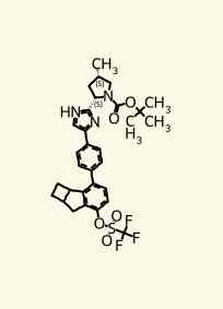 C[C@H]1C[C@@H](c2nc(-c3ccc(-c4ccc(OS(=O)(=O)C(F)(F)F)c5c4C4CCC4C5)cc3)c[nH]2)N(C(=O)OC(C)(C)C)C1